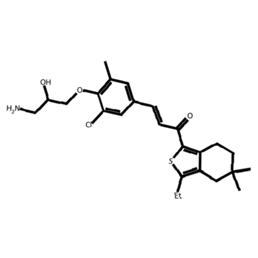 CCc1sc(C(=O)C=Cc2cc(C)c(OCC(O)CN)c(Cl)c2)c2c1CC(C)(C)CC2